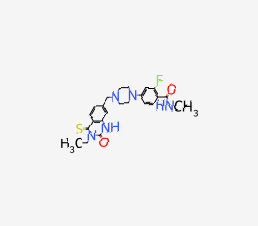 CCn1c(=O)[nH]c2cc(CN3CCN(c4ccc(C(=O)NC)c(F)c4)CC3)ccc2c1=S